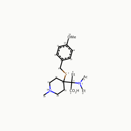 CCN(C(C)=O)C(CC)(C(=O)O)C1(SCc2ccc(OC)cc2)CCN(C)CC1